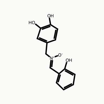 [O-][N+](=Cc1ccccc1O)Cc1ccc(O)c(O)c1